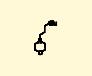 CC(C)(C)CCCN1CCOCC1